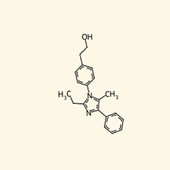 CCc1nc(-c2ccccc2)c(C)n1-c1ccc(CCO)cc1